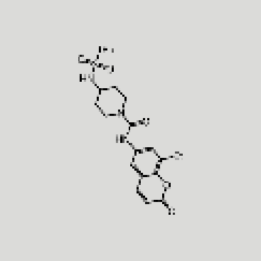 CCc1cc(NC(=O)N2CCC(NS(=O)(=O)C(C)(C)C)CC2)cc2ccc(=O)oc12